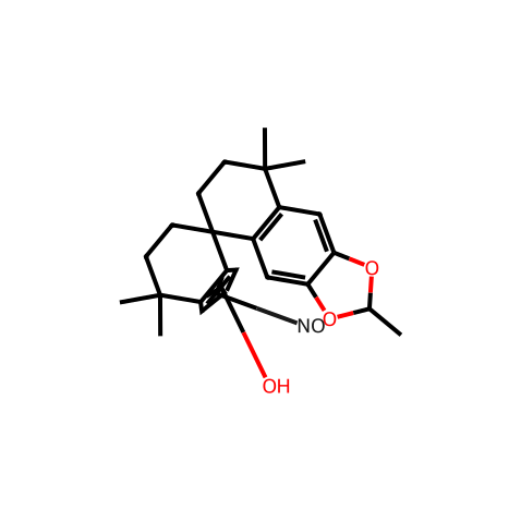 CC1Oc2cc3c(cc2O1)C1(CCC(C)(C)c2cc(O)c(N=O)cc21)CCC3(C)C